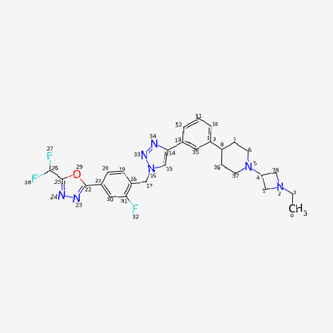 CCN1CC(N2CCC(c3cccc(-c4cn(Cc5ccc(-c6nnc(C(F)F)o6)cc5F)nn4)c3)CC2)C1